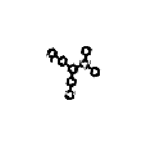 Cc1ncccc1-c1ccc(-c2cc(-c3ccc(-c4ncccn4)cc3)cc(-c3nc(-c4ccccc4)nc(-c4ccccc4)n3)c2)cc1